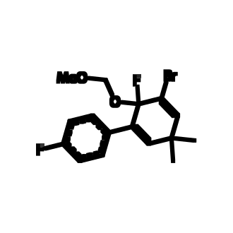 COCOC1(F)C(Br)=CC(C)(C)C=C1c1ccc(F)cc1